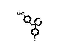 COc1ccc(CC2(c3ccc(Cl)cc3)C=CN=CC2)cc1